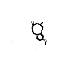 COc1ccc2c(c1)CCC(C)CC(=O)CCC2